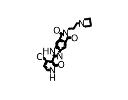 O=C1c2cc3nc(-c4c(Cl)cc[nH]c4=O)[nH]c3cc2C(=O)N1CCCN1CCCC1